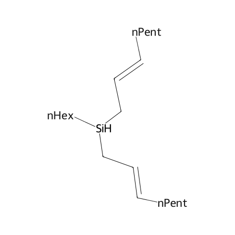 CCCCCC=CC[SiH](CC=CCCCCC)CCCCCC